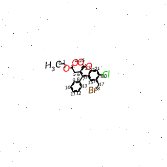 CCOC(=O)Cc1c(-c2ccccc2)c2cc(CBr)c(Cl)cc2oc1=O